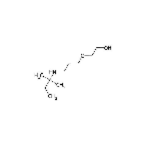 CCC(C)(C)NCCCOCCO